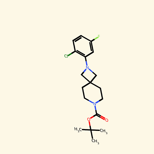 CC(C)(C)OC(=O)N1CCC2(CC1)CN(c1cc(F)ccc1Cl)C2